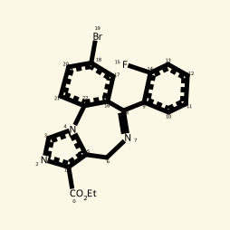 CCOC(=O)c1ncn2c1CN=C(c1ccccc1F)c1cc(Br)ccc1-2